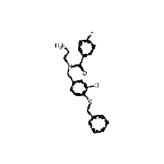 NCCN(Cc1ccc(OCc2ccccc2)c(Cl)c1)C(=O)c1ccc(F)cc1